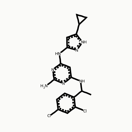 CC(Nc1cc(Nc2cc(C3CC3)[nH]n2)nc(N)n1)c1ccc(Cl)cc1Cl